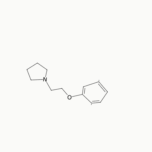 [c]1cc[c]c(OCCN2CCCC2)c1